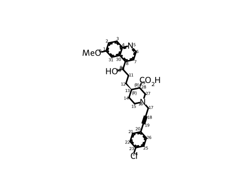 COc1ccc2nccc([C@H](O)CC[C@@H]3CCN(CC#Cc4ccc(Cl)cc4)C[C@@H]3C(=O)O)c2c1